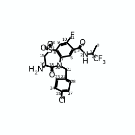 CC(NC(=O)c1cc2c(cc1F)S(=O)(=O)C[C@H](N)C(=O)N2Cc1ccc(Cl)cc1)C(F)(F)F